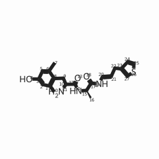 Cc1cc(O)cc(C)c1CC(N)C(=O)N[C@H](C)C(=O)N/C=C/Cc1ccsc1